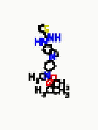 CN(C(=O)OC(C)(C)C)C1CCC(N2CCc3cc(NC(=N)c4cccs4)ccc32)CC1